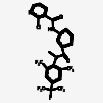 CN(C(=O)c1cccc(NC(=O)c2cccnc2Cl)c1)c1c(C(F)(F)F)cc(C(F)(C(F)(F)F)C(F)(F)F)cc1C(F)(F)F